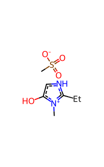 CCc1[nH]cc(O)[n+]1C.CS(=O)(=O)[O-]